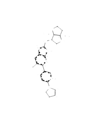 Clc1cc2[nH]c(O[C@@H]3CO[C@@H]4CCO[C@@H]43)nc2nc1-c1ccc(N2CCCC2)nc1